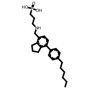 CCCCCCc1ccc(-c2ccc(CNCCCP(=O)(O)O)c3c2CCC3)cc1